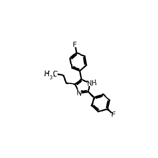 CCCc1nc(-c2ccc(F)cc2)[nH]c1-c1ccc(F)cc1